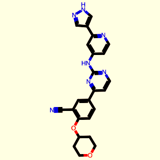 N#Cc1cc(-c2ccnc(Nc3ccnc(-c4cn[nH]c4)c3)n2)ccc1OC1CCOCC1